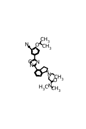 CCN(CC(=O)N(C)C)[C@H]1CCc2c(-c3noc(-c4ccc(OC(C)C)c(C#N)c4)n3)cccc21